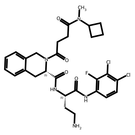 CN(C(=O)CCC(=O)N1Cc2ccccc2C[C@H]1C(=O)N[C@@H](CCN)C(=O)Nc1ccc(Cl)c(Cl)c1F)C1CCC1